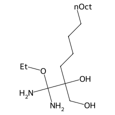 CCCCCCCCCCCCC(O)(CO)C(N)(N)OCC